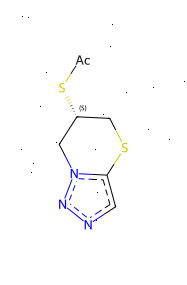 CC(=O)S[C@@H]1CSc2cnnn2C1